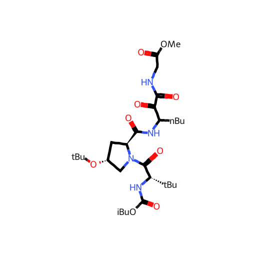 CCCCC(NC(=O)[C@@H]1C[C@@H](OC(C)(C)C)CN1C(=O)[C@@H](NC(=O)OCC(C)C)C(C)(C)C)C(=O)C(=O)NCC(=O)OC